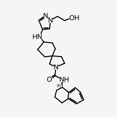 O=C(N[C@@H]1CCCc2ccccc21)N1CCC2(CCC(Nc3cnn(CCO)c3)CC2)C1